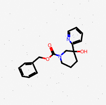 O=C(OCc1ccccc1)N1CCCC(O)(c2ccccn2)C1